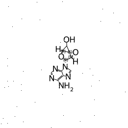 Nc1ncnc2c1ncn2[C@@H]1O[C@@H]2C(O)[C@]23O[C@H]13